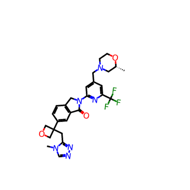 C[C@@H]1CN(Cc2cc(N3Cc4ccc(C5(Cc6nncn6C)COC5)cc4C3=O)nc(C(F)(F)F)c2)CCO1